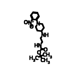 CC(C)(C)OC(=O)NCCNC1CCN(c2ccccc2[N+](=O)[O-])CC1